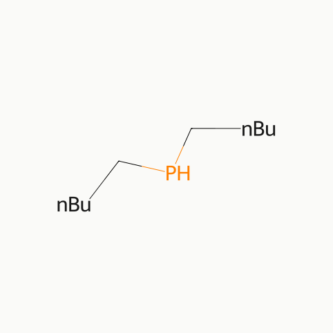 CCCCCPCCCCC